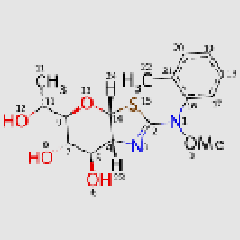 CON(C1=N[C@@H]2[C@@H](O)[C@H](O)[C@@H]([C@@H](C)O)O[C@@H]2S1)c1ccccc1C